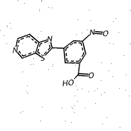 O=Nc1cc(C(=O)O)cc(-c2nc3ccncc3s2)c1